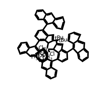 C[SiH](C)[Zr]([Cl])([Cl])([CH]1C(C(C)(C)C)=Cc2c(-c3c4ccccc4cc4ccccc34)ccc(-c3c4ccccc4cc4ccccc34)c21)[CH]1C(C(C)(C)C)=Cc2c(-c3c4ccccc4cc4ccccc34)ccc(-c3c4ccccc4cc4ccccc34)c21